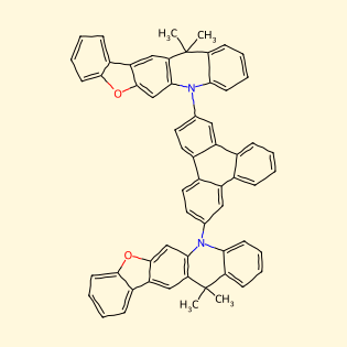 CC1(C)c2ccccc2N(c2ccc3c4ccc(N5c6ccccc6C(C)(C)c6cc7c(cc65)oc5ccccc57)cc4c4ccccc4c3c2)c2cc3oc4ccccc4c3cc21